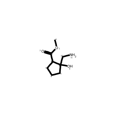 COC(=O)C1CCCC1(O)CN